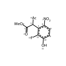 COC(=O)C(C(C)=O)c1c([N+](=O)[O-])ccc(O)c1F